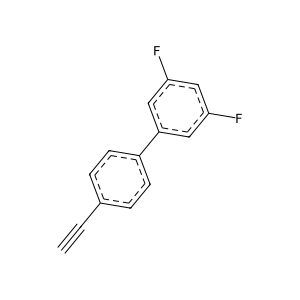 C#Cc1ccc(-c2cc(F)cc(F)c2)cc1